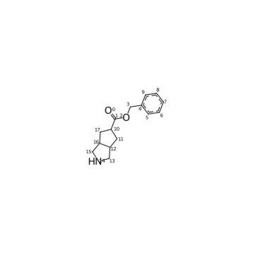 O=C(OCc1ccccc1)C1CC2CNCC2C1